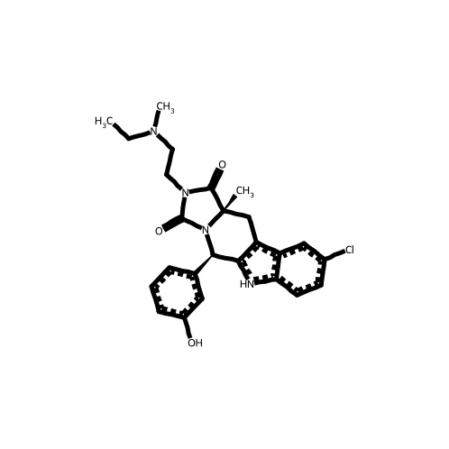 CCN(C)CCN1C(=O)N2[C@H](c3cccc(O)c3)c3[nH]c4ccc(Cl)cc4c3C[C@@]2(C)C1=O